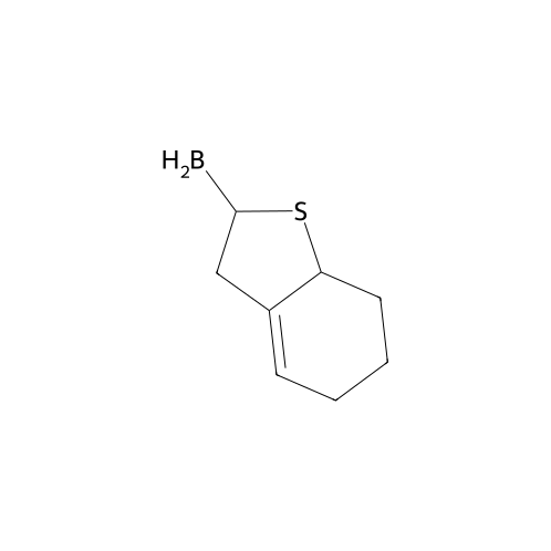 BC1CC2=CCCCC2S1